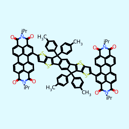 Cc1ccc(C2(c3ccc(C)cc3)c3cc4c(cc3-c3sc5cc(-c6cc7c8c(ccc9c%10ccc%11c%12c(ccc(c6c89)c%12%10)C(=O)N(C(C)C)C%11=O)C(=O)N(C(C)C)C7=O)sc5c32)C(c2ccc(C)cc2)(c2ccc(C)cc2)c2c-4sc3cc(-c4cc5c6c(ccc7c8ccc9c%10c(ccc(c4c67)c%108)C(=O)N(C(C)C)C9=O)C(=O)N(C(C)C)C5=O)sc23)cc1